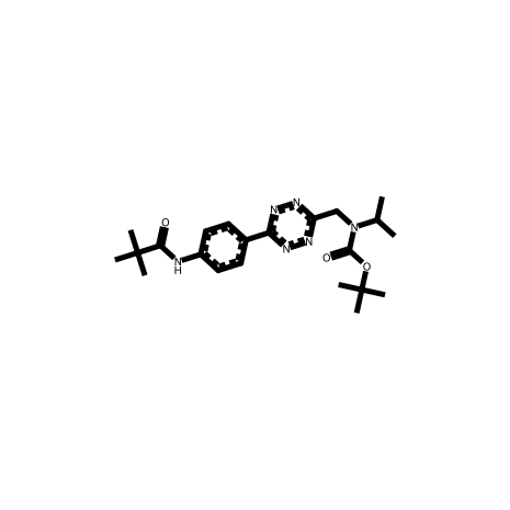 CC(C)N(Cc1nnc(-c2ccc(NC(=O)C(C)(C)C)cc2)nn1)C(=O)OC(C)(C)C